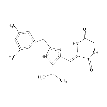 Cc1cc(C)cc(Cc2nc(C=C3NC(=O)CNC3=O)c(C(C)C)[nH]2)c1